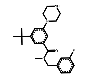 CN(Cc1cccc(F)c1)C(=O)c1cc(N2CCNCC2)cc(C(C)(C)C)c1